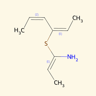 C/C=C\C(=C/C)S/C(N)=C/C